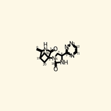 C=C1NC(=O)C2(N3CC(c4nccnn4)NC3=O)CC1C2